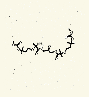 COC(=O)OC(C)(C)CCOC(C)(C)C(=O)OCC(=O)COC(=O)C(C)(N)OCCC(C)(C)OC(=O)OC